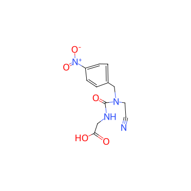 N#CCN(Cc1ccc([N+](=O)[O-])cc1)C(=O)NCC(=O)O